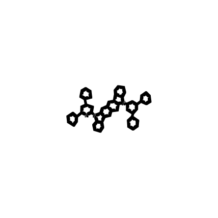 c1ccc(-c2cc(-c3ccccc3)cc(-n3c4ccccc4c4cc5cc6c(cc5cc43)c3ccccc3n6-c3cc(-c4ccccc4)cc(-c4ccccc4)n3)c2)cc1